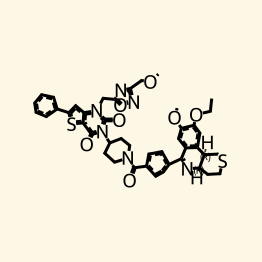 CCOc1cc2c(cc1OC)C(c1ccc(C(=O)N3CCC(n4c(=O)c5sc(-c6ccccc6)cc5n(Cc5nc(COC)no5)c4=O)CC3)cc1)=N[C@@H]1CCSC[C@H]21